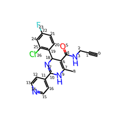 C#CCNC(=O)C1=C(C)NC(c2ccncc2)=NC1c1ccc(F)cc1Cl